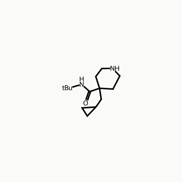 CC(C)(C)NC(=O)C1(CC2CC2)CCNCC1